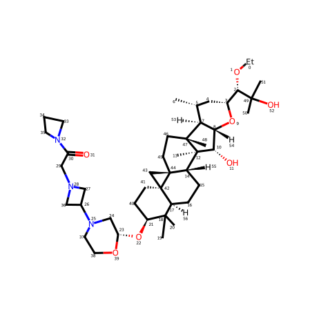 CCO[C@@H]([C@H]1C[C@@H](C)[C@H]2[C@H](O1)[C@H](O)[C@@]1(C)[C@@H]3CC[C@H]4C(C)(C)[C@@H](O[C@H]5CN(C6CN(CC(=O)N7CCC7)C6)CCO5)CC[C@@]45C[C@@]35CC[C@]21C)C(C)(C)O